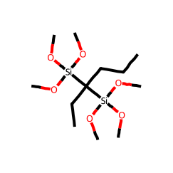 CCCC(CC)([Si](OC)(OC)OC)[Si](OC)(OC)OC